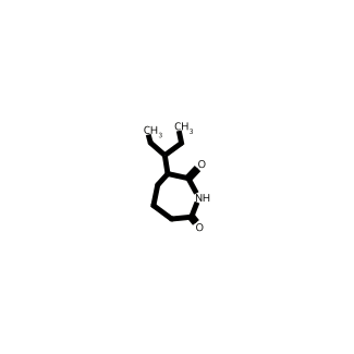 CCC(CC)C1CCCC(=O)NC1=O